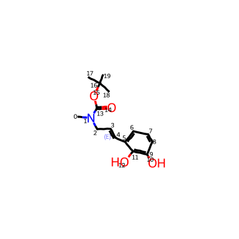 CN(C/C=C/c1cccc(O)c1O)C(=O)OC(C)(C)C